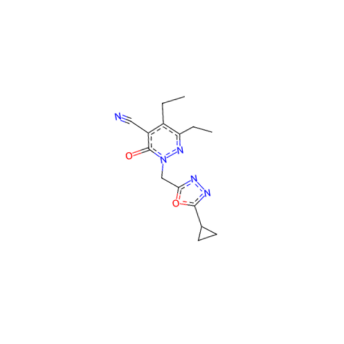 CCc1nn(Cc2nnc(C3CC3)o2)c(=O)c(C#N)c1CC